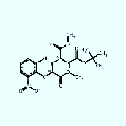 COC(=O)[C@H](C[C@H](Oc1c(Cl)cccc1[N+](=O)[O-])C(=O)OC)NC(=O)OC(C)(C)C